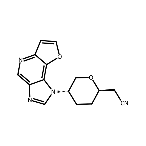 N#CC[C@H]1CC[C@H](n2cnc3cnc4ccoc4c32)CO1